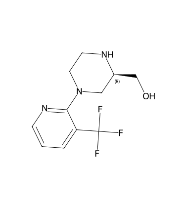 OC[C@H]1CN(c2ncccc2C(F)(F)F)CCN1